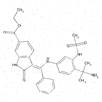 CCOC(=O)c1ccc2c(c1)NC(=O)C2=C(Nc1ccc(C(C)(C)N)c(NS(C)(=O)=O)c1)c1ccccc1